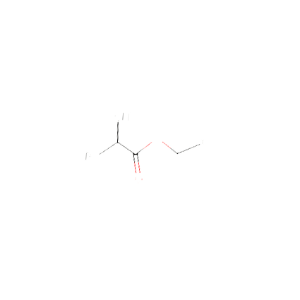 CC(C(=O)OCC(F)(F)F)C(C)(C)C